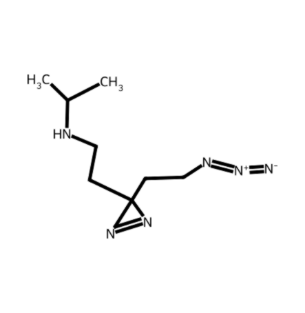 CC(C)NCCC1(CCN=[N+]=[N-])N=N1